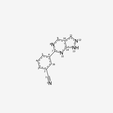 N#Cc1cccc(-c2ncc3cn[nH]c3n2)c1